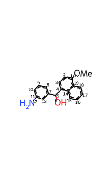 COc1ccc(C(O)c2cccc(N)c2)c2ccccc12